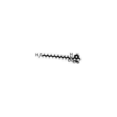 CCCCCCCCCCCCCCCCCC(=O)NC(=O)c1cccc(I)c1I(=O)=O